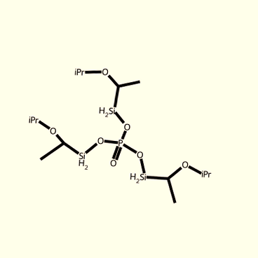 CC(C)OC(C)[SiH2]OP(=O)(O[SiH2]C(C)OC(C)C)O[SiH2]C(C)OC(C)C